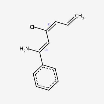 C=C/C=C(Cl)\C=C(/N)c1ccccc1